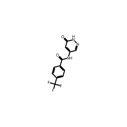 O=C(Nc1cn[nH]c(=O)c1)c1ccc(C(F)(F)F)cc1